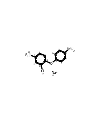 O=[N+]([O-])c1ccc(Oc2ccc(C(F)(F)F)cc2Cl)cc1.[Na+]